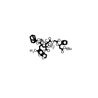 CC1C2CCC(C2)C1CC(C)(CC(C)(CC(C)(C)C(=O)OCC(=O)OC(CC(=O)OC(C)(C)C)C1CC2C=CC1C2)C(=O)OC1CCOC1=O)C(=O)OC1(C)C2CC3CC(C2)CC1C3